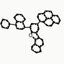 c1ccc(-c2ccc(-c3cc(-c4ccc5ccc6cccc7ccc4c5c67)cc4c3oc3c5ccccc5ccc43)c3ccccc23)cc1